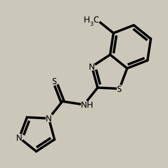 Cc1cccc2sc(NC(=S)n3ccnc3)nc12